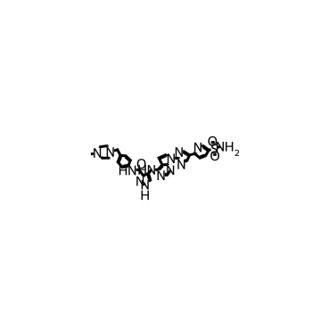 CN1CCN(Cc2ccc(NC(=O)c3n[nH]cc3Nc3ncnc4c3ccn4-c3ncc(-c4ccc(S(N)(=O)=O)cn4)cn3)cc2)CC1